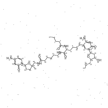 CCCCC(=O)NC(CCSSc1cn(C2CC(O)C(COC)O2)c(=O)nc1N)C(=O)NCCCCCC(=O)NCC1(C)CCC(n2ccc(N)nc2=O)O1